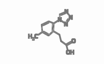 Cc1ccc(-n2cnnn2)c(CCC(=O)O)c1